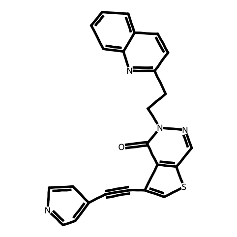 O=c1c2c(C#Cc3ccncc3)csc2cnn1CCc1ccc2ccccc2n1